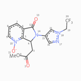 COC(=O)CC1c2c(ccc[n+]2[O-])C(=O)N1c1cnn(CC(F)(F)F)c1